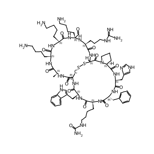 C[C@@H]1NC(=O)[C@@H]2CSS[C@H](NC(=O)[C@H](CCCNC(=N)N)N[C@](C=O)(CCCCN)NC(=O)[C@H](CCCCN)NC(=O)[C@H](CCCCN)NC1=O)C(=O)N1CCC[C@H]1C(=O)N[C@@H](Cc1c[nH]cn1)C(=O)N[C@H](Cc1ccccc1)C(=O)N[C@@H](CCCCNC(N)=O)C(=O)N[C@@H](Cc1c[nH]c3ccccc13)C(=O)N2